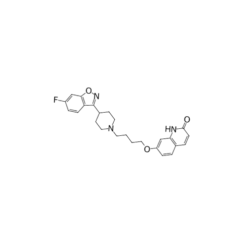 O=c1ccc2ccc(OCCCCN3CCC(c4noc5cc(F)ccc45)CC3)cc2[nH]1